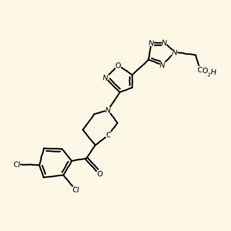 O=C(O)Cn1nnc(-c2cc(N3CCC(C(=O)c4ccc(Cl)cc4Cl)CC3)no2)n1